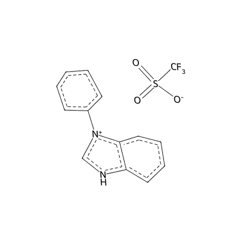 O=S(=O)([O-])C(F)(F)F.c1ccc(-[n+]2c[nH]c3ccccc32)cc1